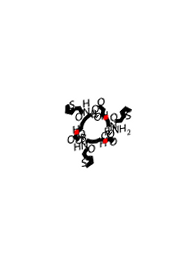 NN(C(=O)Cc1cccs1)[C@H]1CC[C@H]2CC(=O)OB(O2)[C@@H](NC(=O)Cc2cccs2)CC[C@H]2CC(=O)OB(O2)[C@@H](NC(=O)Cc2cccs2)CC[C@H]2CC(=O)OB1O2